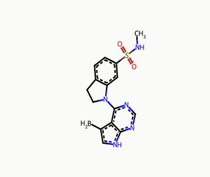 Bc1c[nH]c2ncnc(N3CCc4ccc(S(=O)(=O)NC)cc43)c12